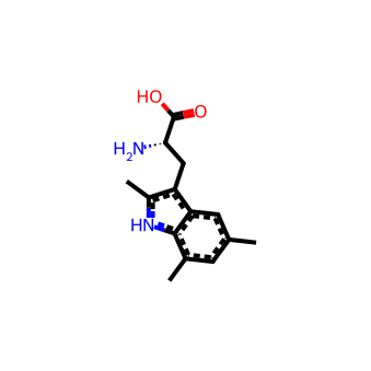 Cc1cc(C)c2[nH]c(C)c(C[C@H](N)C(=O)O)c2c1